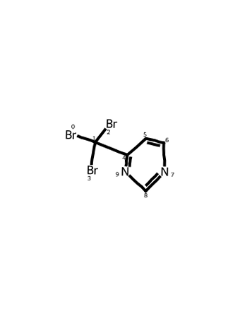 BrC(Br)(Br)c1ccncn1